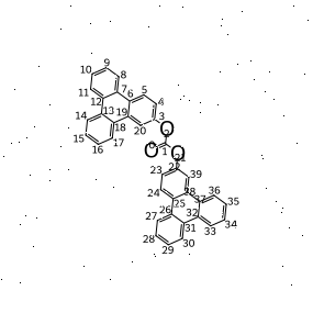 O=C(Oc1ccc2c3ccccc3c3ccccc3c2c1)Oc1ccc2c3ccccc3c3ccccc3c2c1